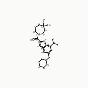 CC(C)c1cc(CC2CCCCC2)nc2cc(C(=O)N3CCCC(F)(F)CC3)nn12